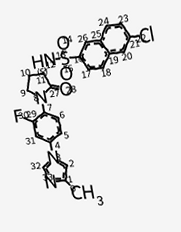 Cc1cn(-c2ccc(N3CC[C@H](NS(=O)(=O)c4ccc5cc(Cl)ccc5c4)C3=O)c(F)c2)cn1